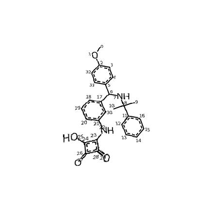 COc1ccc(C(NC(C)(C)c2ccccc2)c2cccc(Nc3c(O)c(=O)c3=O)c2)cc1